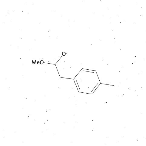 COC([O])Cc1ccc(C)cc1